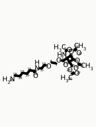 CC(=O)NC12C(OCCOCCNC(=O)CCCCCN)OC1(COC(C)=O)C(OC(C)=O)C2OC(C)=O